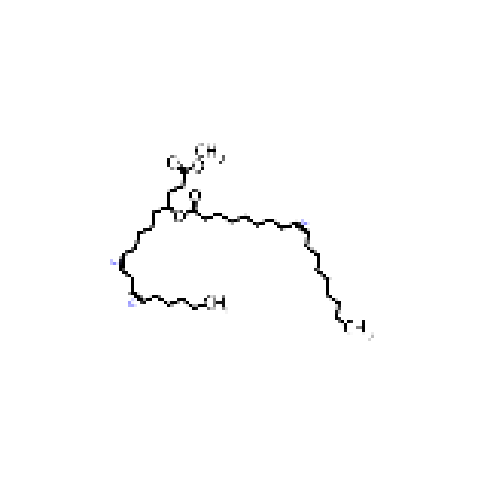 CCCCC/C=C\C/C=C\CCCCC(CCC(=O)OC)OC(=O)CCCCCCC/C=C\CCCCCCCC